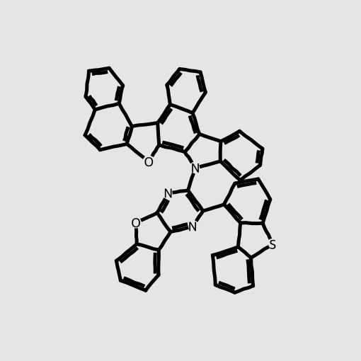 c1ccc2c(c1)ccc1oc3c(c4ccccc4c4c5ccccc5n(-c5nc6oc7ccccc7c6nc5-c5cccc6sc7ccccc7c56)c34)c12